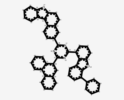 c1ccc(-c2cccc3c2oc2cccc(-c4nc(-c5ccc6c(ccc7oc8ccccc8c76)c5)nc(-c5cc6ccccc6c6ccccc56)n4)c23)cc1